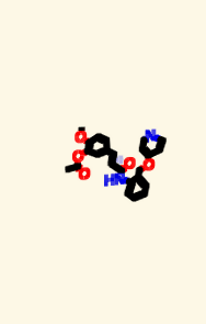 COc1ccc(/C=C/C(=O)Nc2ccccc2COc2ccncc2)cc1OC(C)=O